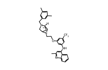 Cc1cc(C)cc(CN2CC3C[C@H]2CN3CCOc2cc(Nc3cc(C)nc4ccccc34)cc(C(F)(F)F)c2)c1